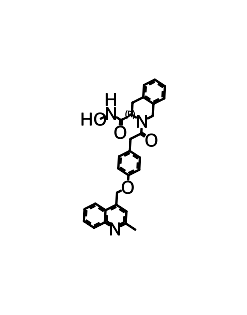 Cc1cc(COc2ccc(CC(=O)N3Cc4ccccc4C[C@@H]3C(=O)NO)cc2)c2ccccc2n1